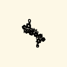 Cc1c(-c2ccc(-c3cnc([C@@H]4CCCN4C4CC[CH]C(=C=O)C4)[nH]3)cc2)ccc(-c2cnc([C@@H]3CCCN3C3CC[CH]C(=C=O)C3)[nH]2)c1C